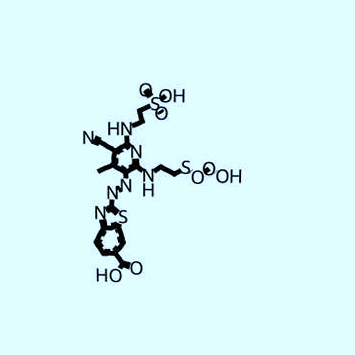 Cc1c(C#N)c(NCCS(=O)(=O)O)nc(NCCSOOO)c1N=Nc1nc2ccc(C(=O)O)cc2s1